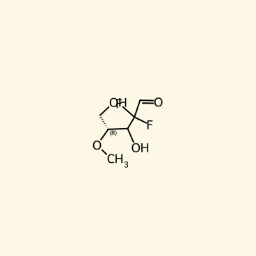 CO[C@H](CO)C(O)C(F)(F)C=O